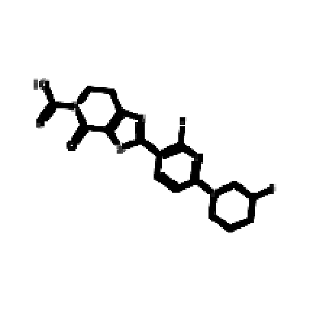 O=C(O)N1CCc2nc(-c3ccc(N4CCCC(F)C4)nc3F)sc2C1=O